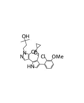 COc1cccc(-c2c[nH]c(-c3cnn(CCC(C)(C)O)c3C(F)(F)F)c2COC2CC2)c1Cl